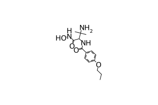 CCCOc1ccc(C(=O)NC(C(=O)NO)C(C)(C)N)cc1